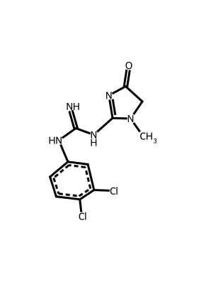 CN1CC(=O)N=C1NC(=N)Nc1ccc(Cl)c(Cl)c1